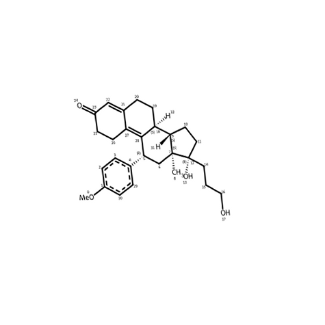 COc1ccc([C@H]2C[C@@]3(C)[C@@H](CC[C@@]3(O)CCCO)[C@@H]3CCC4=CC(=O)CCC4=C32)cc1